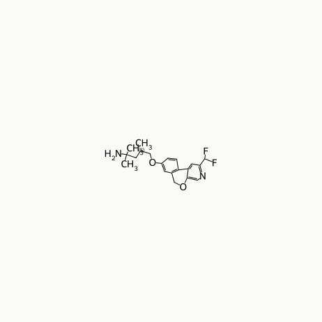 C[C@H](COc1ccc2c(c1)COc1cnc(C(F)F)cc1-2)CC(C)(C)N